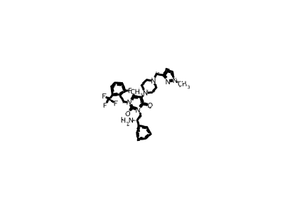 Cc1c(N2CCN(Cc3ccn(C)n3)CC2)c(=O)n(C[C@@H](N)c2ccccc2)c(=O)n1Cc1c(F)cccc1C(F)(F)F